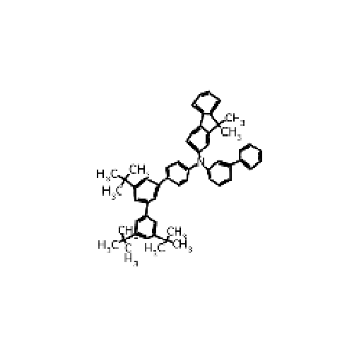 CC(C)(C)c1cc(-c2ccc(N(c3cccc(-c4ccccc4)c3)c3ccc4c(c3)C(C)(C)c3ccccc3-4)cc2)cc(-c2cc(C(C)(C)C)cc(C(C)(C)C)c2)c1